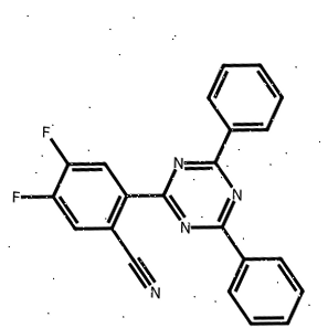 N#Cc1cc(F)c(F)cc1-c1nc(-c2ccccc2)nc(-c2ccccc2)n1